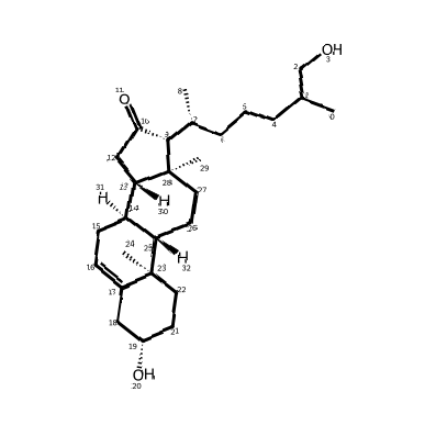 CC(CO)CCC[C@@H](C)[C@H]1C(=O)C[C@H]2[C@@H]3CC=C4C[C@@H](O)CC[C@]4(C)[C@H]3CC[C@]12C